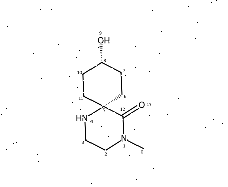 CN1CCN[C@]2(CC[C@@H](O)CC2)C1=O